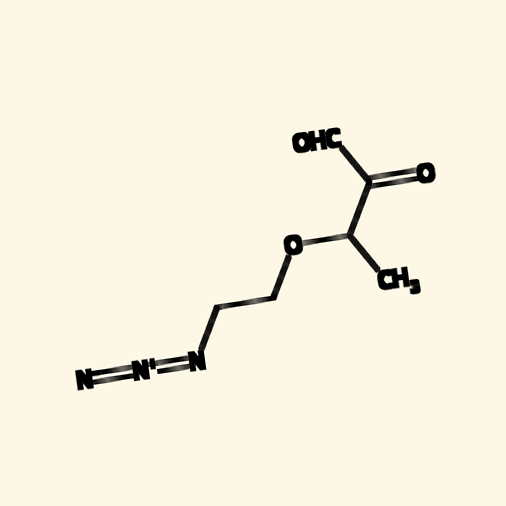 CC(OCCN=[N+]=[N-])C(=O)C=O